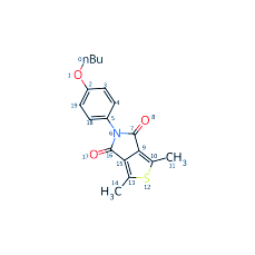 CCCCOc1ccc(N2C(=O)c3c(C)sc(C)c3C2=O)cc1